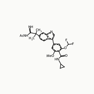 COc1cc(-c2cnc3cc(C(C)(C)C(=N)NC(C)=O)ccn23)cc(OC(F)F)c1C(=O)NC1CC1